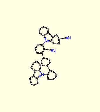 N#Cc1ccc2c(c1)c1ccccc1n2-c1cccc(-c2ccc(-c3ccccc3-n3c4ccccc4c4ccccc43)cc2)c1C#N